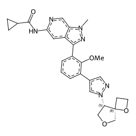 COc1c(-c2cnn([C@H]3COC[C@@]34CCO4)c2)cccc1-c1nn(C)c2cnc(NC(=O)C3CC3)cc12